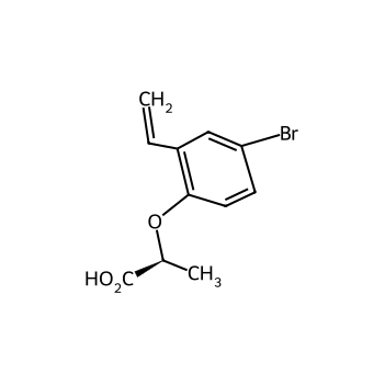 C=Cc1cc(Br)ccc1O[C@@H](C)C(=O)O